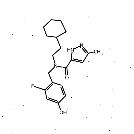 Cc1cc(C(=O)N(CCC2CCCCC2)Cc2ccc(O)cc2F)[nH]n1